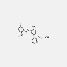 COc1ccc(F)cc1C(C)Oc1cc(-c2cccnc2OCCO)cnc1N